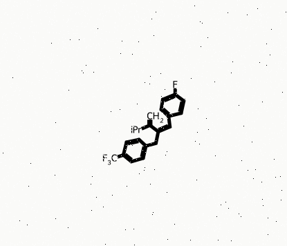 C=C(C(=Cc1ccc(F)cc1)Cc1ccc(C(F)(F)F)cc1)C(C)C